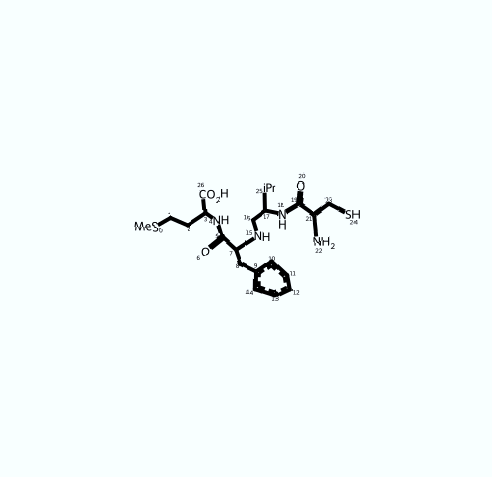 CSCCC(NC(=O)C(Cc1ccccc1)NCC(NC(=O)C(N)CS)C(C)C)C(=O)O